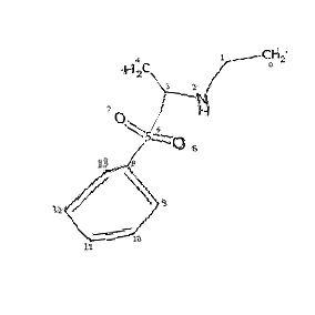 [CH2]CNC([CH2])S(=O)(=O)c1ccccc1